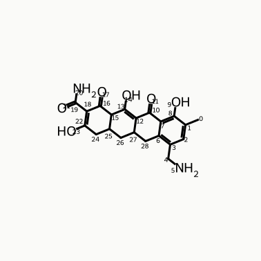 Cc1cc(CN)c2c(c1O)C(=O)C1=C(O)C3C(=O)C(C(N)=O)=C(O)CC3CC1C2